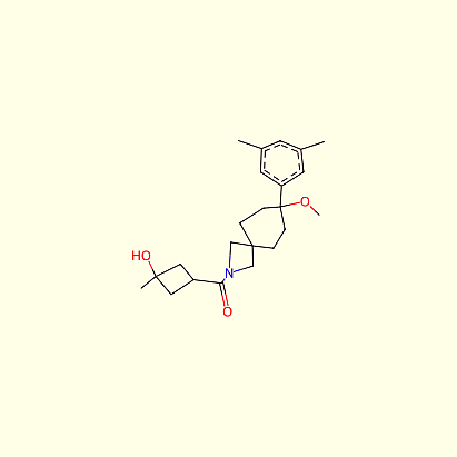 COC1(c2cc(C)cc(C)c2)CCC2(CC1)CN(C(=O)C1CC(C)(O)C1)C2